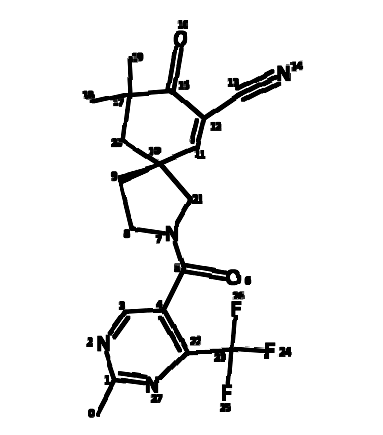 Cc1ncc(C(=O)N2CC[C@@]3(C=C(C#N)C(=O)C(C)(C)C3)C2)c(C(F)(F)F)n1